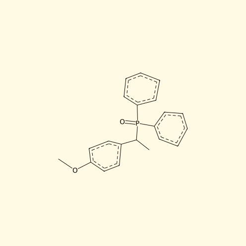 COc1ccc(C(C)P(=O)(c2ccccc2)c2ccccc2)cc1